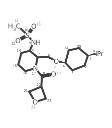 CC(C)[C@H]1CC[C@@H](OCC2C(NS(C)(=O)=O)CCCN2C(=O)C2COC2)CC1